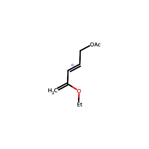 C=C(/C=C/COC(C)=O)OCC